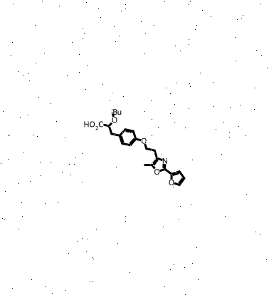 CCC(C)OC(Cc1ccc(OCCc2nc(-c3ccco3)oc2C)cc1)C(=O)O